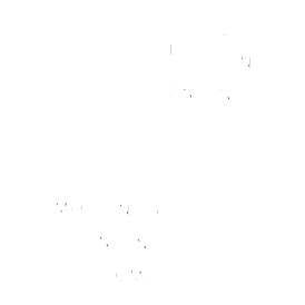 COc1nc(OC)nc(Oc2ccc(CCNc3ncnc4scc(Cl)c34)cc2)n1